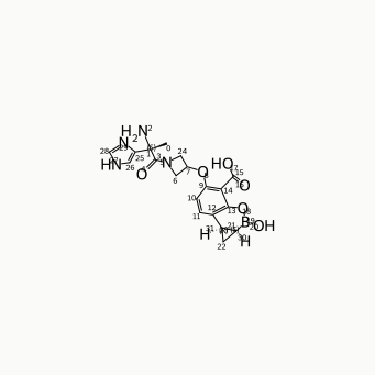 C[C@@](N)(C(=O)N1CC(Oc2ccc3c(c2C(=O)O)OB(O)[C@H]2C[C@@H]32)C1)c1c[nH]cn1